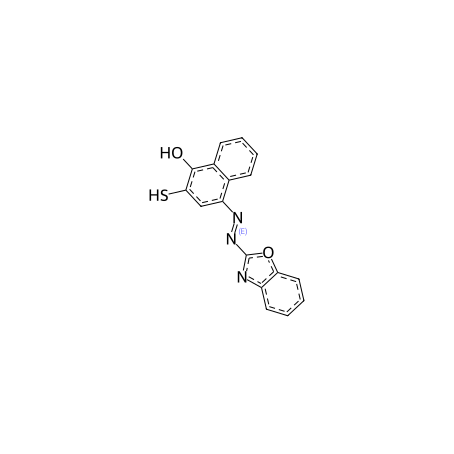 Oc1c(S)cc(/N=N/c2nc3ccccc3o2)c2ccccc12